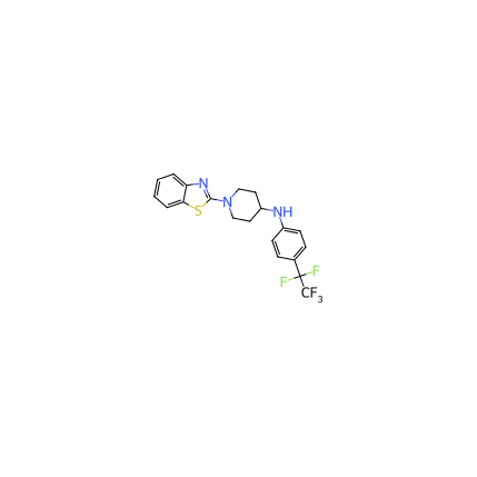 FC(F)(F)C(F)(F)c1ccc(NC2CCN(c3nc4ccccc4s3)CC2)cc1